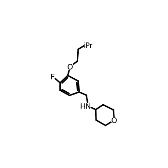 CC(C)CCOc1cc(CNC2CCOCC2)ccc1F